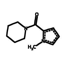 Cn1cccc1C(=O)N1CCCCC1